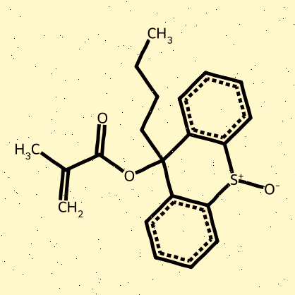 C=C(C)C(=O)OC1(CCCC)c2ccccc2[S+]([O-])c2ccccc21